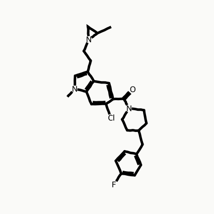 CC1CN1CCc1cn(C)c2cc(Cl)c(C(=O)N3CCC(Cc4ccc(F)cc4)CC3)cc12